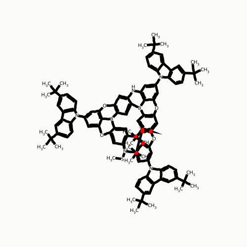 CSN1c2cc3c(cc2B2c4cc(C(C)(C)C)ccc4Oc4cc(-n5c6ccc(C(C)(C)C)cc6c6cc(C(C)(C)C)ccc65)cc1c42)B1c2cc4c(cc2Oc2cc(-n5c6ccc(C(C)(C)C)cc6c6cc(C(C)(C)C)ccc65)cc(c21)O3)Nc1cc(-n2c3ccc(C(C)(C)C)cc3c3cc(C(C)(C)C)ccc32)cc2c1B4c1cc(C(C)(C)C)ccc1O2